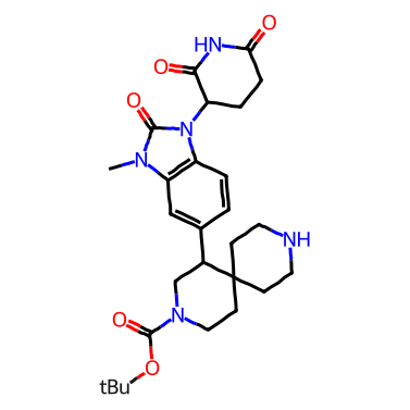 Cn1c(=O)n(C2CCC(=O)NC2=O)c2ccc(C3CN(C(=O)OC(C)(C)C)CCC34CCNCC4)cc21